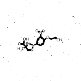 C=CCOc1ccc(N2N=CC(C)(C(=O)O)N2)cc1[N+](=O)[O-]